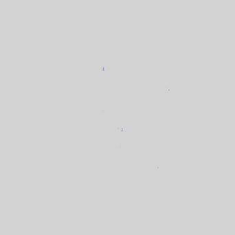 CCc1cnc2ccc(Cc3cc(C(=O)NCc4ccc5[nH]cc(Cl)c5c4F)ccn3)cc2c1